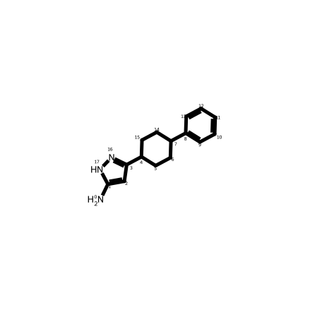 Nc1cc(C2CCC(c3ccccc3)CC2)n[nH]1